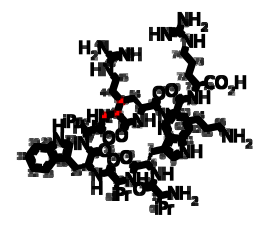 CC(C)[C@H](N)C(=O)N[C@@H](Cc1c[nH]c2ccccc12)C(=O)N[C@H](C(=O)N[C@@H](Cc1c[nH]c2ccccc12)C(=O)N[C@H](C(=O)N[C@@H](CCCNC(=N)N)C(=O)N[C@@H](CCCCN)C(=O)N[C@@H](CCCCN)C(=O)N[C@@H](CCCNC(=N)N)C(=O)O)C(C)C)C(C)C